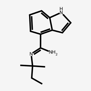 CCC(C)(C)/N=C(\N)c1cccc2[nH]ccc12